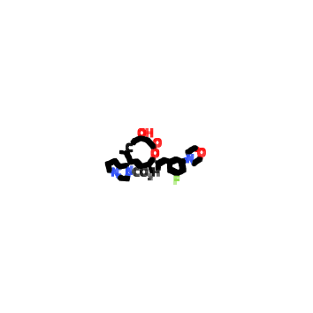 C/C(=C\c1cc(F)cc(N2CCOCC2)c1)[C@H]1OC(=O)C[C@H](O)CC[C@H](C)[C@@H](C2C3CCCN3CCN2C(=O)O)/C=C/[C@@H]1C